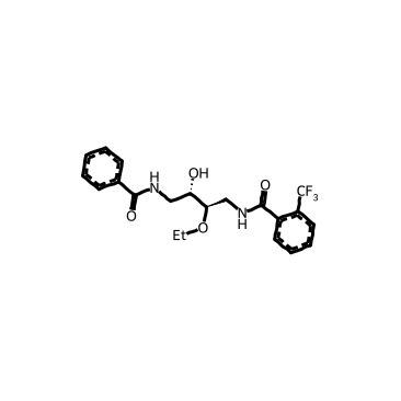 CCO[C@H](CNC(=O)c1ccccc1C(F)(F)F)[C@@H](O)CNC(=O)c1ccccc1